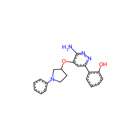 Nc1nnc(-c2ccccc2O)cc1OC1CCN(c2ccccc2)C1